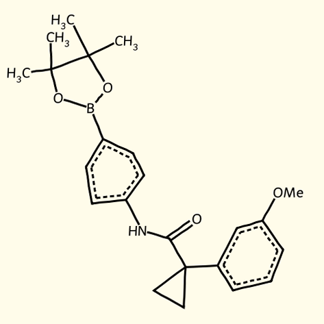 COc1cccc(C2(C(=O)Nc3ccc(B4OC(C)(C)C(C)(C)O4)cc3)CC2)c1